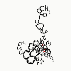 COCOc1cc(-c2ncc3c(N4CC5CCC(C4)N5C(=O)OC(C)(C)C)nc(OCC4(CN5CCC(OCCC(=O)OC)CC5)CC4)nc3c2F)c2c(C#C[Si](C(C)C)(C(C)C)C(C)C)c(F)ccc2c1